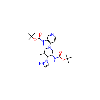 C[C@H]1CN(c2ccncc2NC(=O)OC(C)(C)C)C[C@@H](NC(=O)OC(C)(C)C)[C@H]1n1cc[nH]1